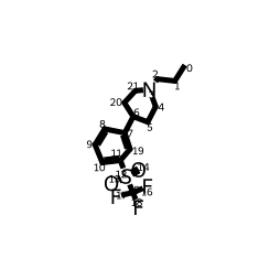 CCCN1CCC(c2cccc(S(=O)(=O)C(F)(F)F)c2)CC1